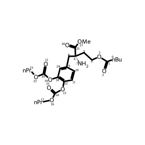 CCCCC(=O)OCC[C@@](N)(Cc1ccc(OC(=O)OCCC)c(OC(=O)OCCC)c1)C(=O)OC